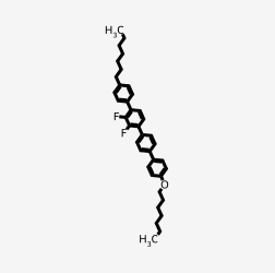 CCCCCCCOc1ccc(-c2ccc(-c3ccc(-c4ccc(CCCCCCC)cc4)c(F)c3F)cc2)cc1